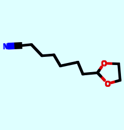 N#CCCCCCCC1OCCO1